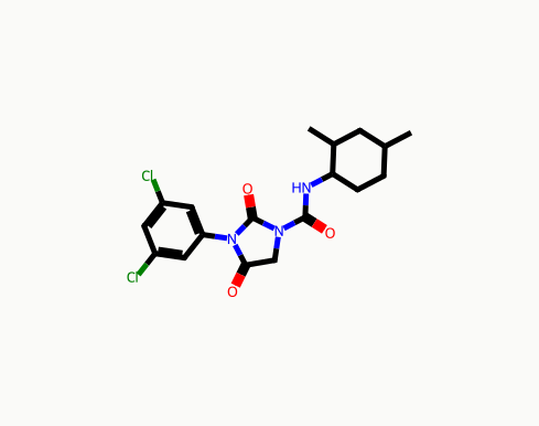 CC1CCC(NC(=O)N2CC(=O)N(c3cc(Cl)cc(Cl)c3)C2=O)C(C)C1